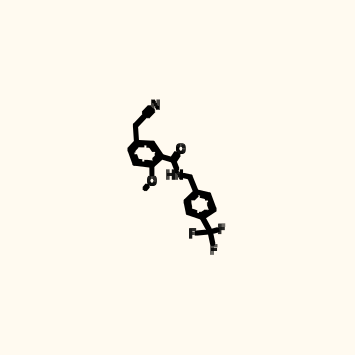 COc1ccc(CC#N)cc1C(=O)NCc1ccc(C(F)(F)F)cc1